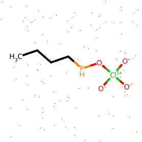 CCCCPO[Cl+3]([O-])([O-])[O-]